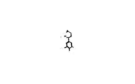 Nc1c(Br)cc(C2CCC(=O)NN2)cc1Br